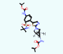 CC(C)OC(=O)Nc1ccc(-c2cnc(N3C[C@@H]4[C@H](C3)[C@H]4NC(=O)OC(C)C)s2)c(S(=O)(=O)NC(C)(C)C)c1